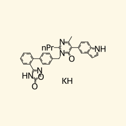 CCCc1nc(C)c(-c2ccc3[nH]ccc3c2)c(=O)n1Cc1ccc(-c2ccccc2-c2noc(=O)[nH]2)cc1.[KH]